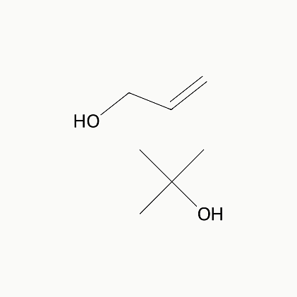 C=CCO.CC(C)(C)O